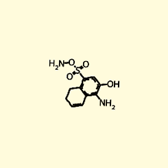 NOS(=O)(=O)c1cc(O)c(N)c2c1CCC=C2